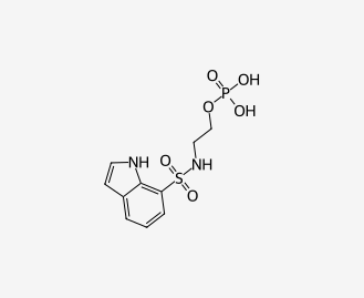 O=P(O)(O)OCCNS(=O)(=O)c1cccc2cc[nH]c12